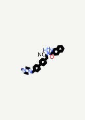 CN1CCN(Cc2ccc(-c3ccc(CC(C#N)NC(=O)[C@@]4(N)CCc5ccccc5C4)cc3)cc2)CC1